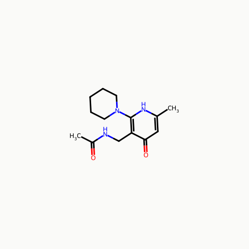 CC(=O)NCc1c(N2CCCCC2)[nH]c(C)cc1=O